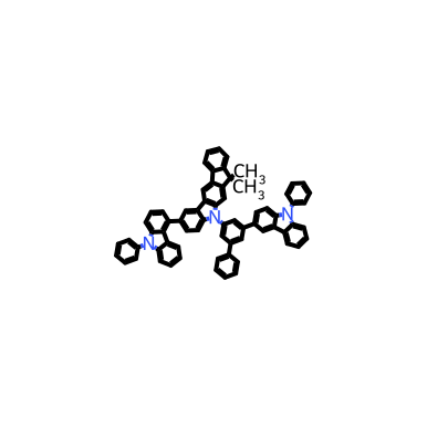 CC1(C)c2ccccc2-c2cc3c4cc(-c5cccc6c5c5ccccc5n6-c5ccccc5)ccc4n(-c4cc(-c5ccccc5)cc(-c5ccc6c(c5)c5ccccc5n6-c5ccccc5)c4)c3cc21